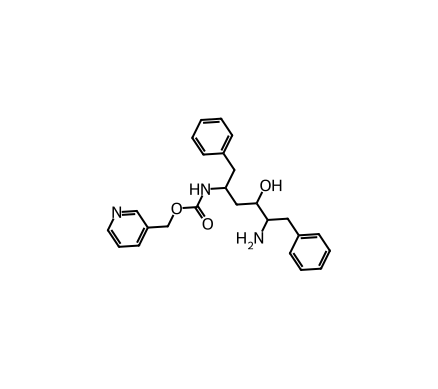 NC(Cc1ccccc1)C(O)CC(Cc1ccccc1)NC(=O)OCc1cccnc1